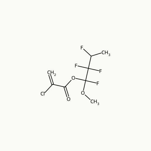 C=C(Cl)C(=O)OC(F)(OC)C(F)(F)C(C)F